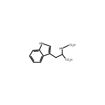 O=C(O)NC(Cc1c[nH]c2ccccc12)C(=O)O